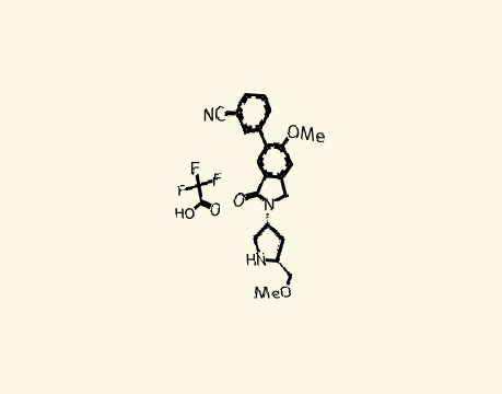 COC[C@@H]1C[C@@H](N2Cc3cc(OC)c(-c4cccc(C#N)c4)cc3C2=O)CN1.O=C(O)C(F)(F)F